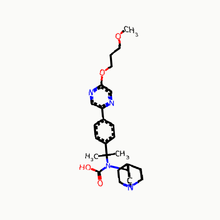 COCCCOc1cnc(-c2ccc(C(C)(C)N(C(=O)O)C3CN4CCC3CC4)cc2)cn1